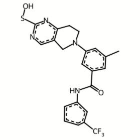 Cc1cc(C(=O)Nc2cccc(C(F)(F)F)c2)cc(N2CCc3nc(SO)ncc3C2)c1